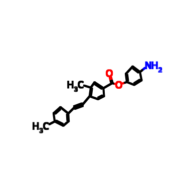 Cc1ccc(C#Cc2ccc(C(=O)Oc3ccc(N)cc3)cc2C)cc1